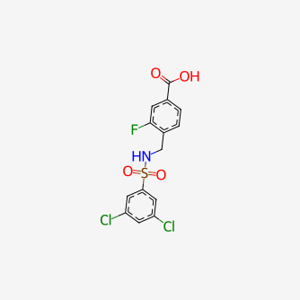 O=C(O)c1ccc(CNS(=O)(=O)c2cc(Cl)cc(Cl)c2)c(F)c1